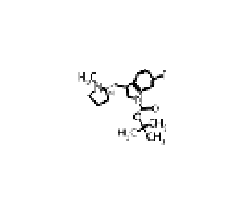 CN1CCC[C@H]1Cc1cn(C(=O)OC(C)(C)C)c2cc(F)ccc12